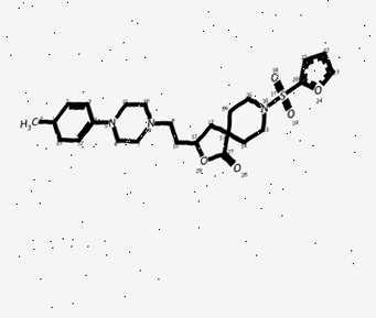 CC1C=CC(N2CCN(CCC3CC4(CCN(S(=O)(=O)c5ccco5)CC4)C(=O)O3)CC2)=CC1